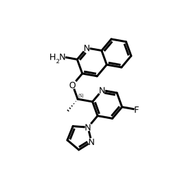 C[C@H](Oc1cc2ccccc2nc1N)c1ncc(F)cc1-n1cccn1